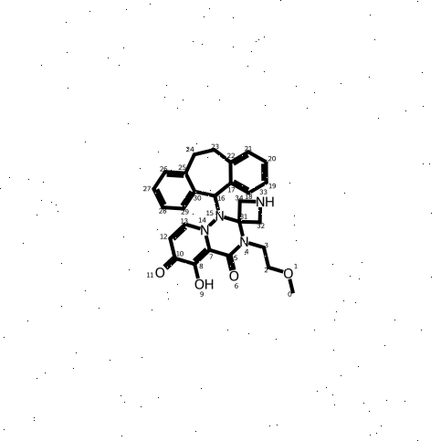 COCCN1C(=O)c2c(O)c(=O)ccn2N(C2c3ccccc3CCc3ccccc32)C12CNC2